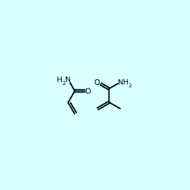 C=C(C)C(N)=O.C=CC(N)=O